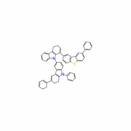 C1=CCCC(C2=Cc3c(n(-c4ccccc4)c4ccc(-n5c6c(c7ccccc75)CCC=C6c5ccc6sc7ccc(-c8ccccc8)cc7c6c5)cc34)CC2)=C1